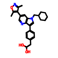 Cc1noc(C)c1-c1cnc2c(-c3ccc(CC(O)O)cc3)cn(CC3CCCCC3)c2c1